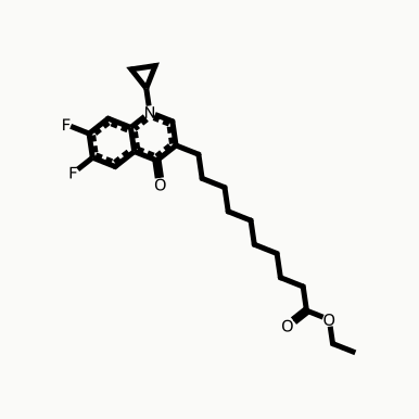 CCOC(=O)CCCCCCCCCc1cn(C2CC2)c2cc(F)c(F)cc2c1=O